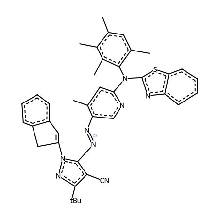 Cc1cc(N(c2nc3ccccc3s2)c2c(C)cc(C)c(C)c2C)ncc1/N=N/c1c(C#N)c(C(C)(C)C)nn1C1=Cc2ccccc2C1